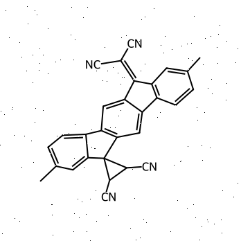 Cc1ccc2c(c1)C(=C(C#N)C#N)c1cc3c(cc1-2)C1(c2cc(C)ccc2-3)C(C#N)C1C#N